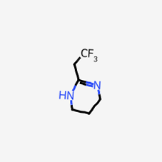 FC(F)(F)CC1=NCCCN1